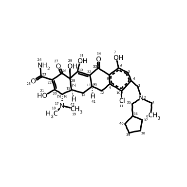 CCN(Cc1cc(O)c2c(c1Cl)C[C@H]1C[C@H]3[C@H](N(C)C)C(O)=C(C(N)=O)C(=O)C3(O)C(O)=C1C2=O)CC1CCCC1